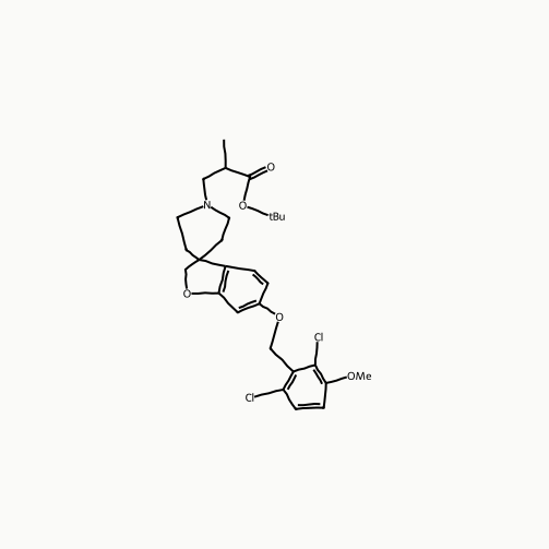 COc1ccc(Cl)c(COc2ccc3c(c2)OCC32CCN(CC(C)C(=O)OC(C)(C)C)CC2)c1Cl